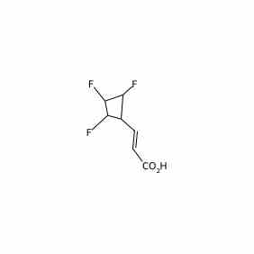 O=C(O)C=CC1C(F)C(F)C1F